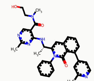 Cc1cc(-c2cccc3cc([C@H](C)Nc4nc(C)ncc4C(=O)N(C)CCO)n(-c4ccccc4)c(=O)c23)ccn1